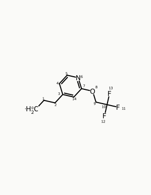 [CH2]CCc1ccnc(OCC(F)(F)F)c1